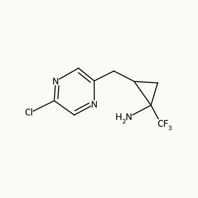 NC1(C(F)(F)F)CC1Cc1cnc(Cl)cn1